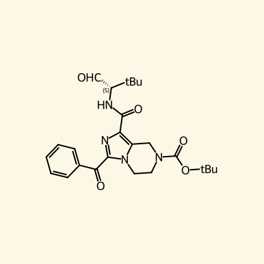 CC(C)(C)OC(=O)N1CCn2c(C(=O)c3ccccc3)nc(C(=O)N[C@H](C=O)C(C)(C)C)c2C1